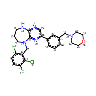 Fc1ccc(F)c(CN2CCCNc3ncc(-c4cccc(CN5CCOCC5)c4)nc32)c1Cl